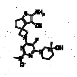 C[S+]([O-])c1nc(N2CC3(CCc4sc(N)c(C#N)c43)C2)c(F)c(N2CCC[C@@](C)(O)C2)n1